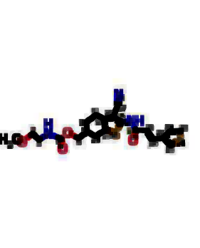 COCCNC(=O)OCC1CCc2c(sc(NC(=O)C=Cc3ccsc3)c2C#N)C1